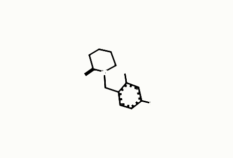 O=C1CCCCN1Cc1ccc(F)cc1F